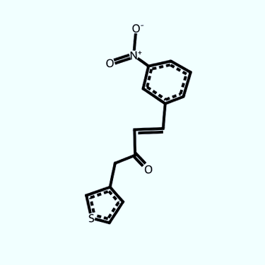 O=C(C=Cc1cccc([N+](=O)[O-])c1)Cc1ccsc1